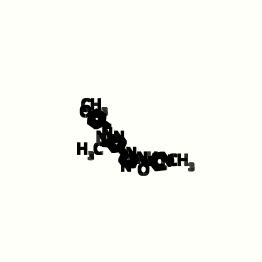 COc1ccc(Cn2nc(C)c3cc(-c4cncc(NC(=O)C5CCN(C)CC5)n4)cnc32)cc1